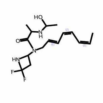 C\C=C/C=C\C=C\CN(C(=O)C(C)NC(C)O)C1CC(F)(F)N1